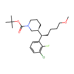 COCCCC[C@@H](c1cccc(Cl)c1F)[C@@H]1CCCN(C(=O)OC(C)(C)C)C1